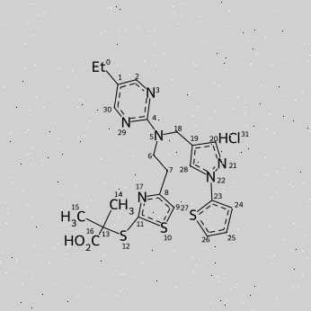 CCc1cnc(N(CCc2csc(SC(C)(C)C(=O)O)n2)Cc2cnn(-c3cccs3)c2)nc1.Cl